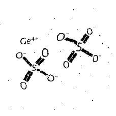 O=S(=O)([O-])[O-].O=S(=O)([O-])[O-].[Ge+4]